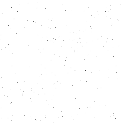 CCCCCCCCCCCCC(CCCC)OC(=O)C1CC=CCC1C(=O)O